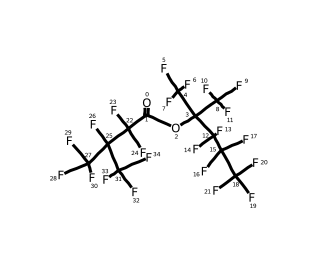 O=C(OC(C(F)(F)F)(C(F)(F)F)C(F)(F)C(F)(F)C(F)(F)F)C(F)(F)C(F)(C(F)(F)F)C(F)(F)F